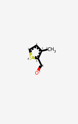 Cc1c[c]sc1C=O